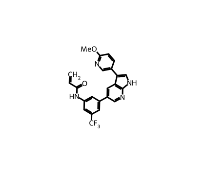 C=CC(=O)Nc1cc(-c2cnc3[nH]cc(-c4ccc(OC)nc4)c3c2)cc(C(F)(F)F)c1